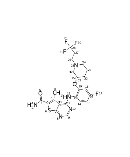 Cc1c(C(N)=O)sc2ncnc(Nc3ccc(F)cc3O[C@H]3CCCN(CCC(F)(F)F)C3)c12